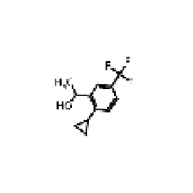 CC(O)c1cc(C(F)(F)F)ccc1C1CC1